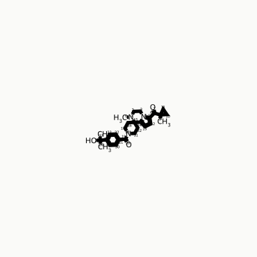 CN1CCn2c(C(=O)C3(C)CC3)ccc2C12CCN(C(=O)c1ccc(C(C)(C)O)cc1)CC2